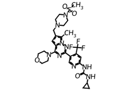 Cc1c(CN2CCN(S(C)(=O)=O)CC2)cc2c(N3CCOCC3)nc(-c3cnc(NC(=O)NC4CC4)cc3C(F)(F)F)nn12